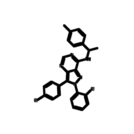 Cc1ccc(C(C)Nc2ncnc3c(-c4ccc(Cl)cc4)n(-c4ccccc4Cl)nc23)cc1